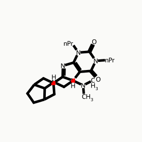 CCCn1c(=O)c2[nH]c(C3CC4CCC(C3)C4NCCN(C)C)nc2n(CCC)c1=O